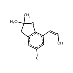 CC1(C)Cc2cc(Cl)cc(/C=N\O)c2O1